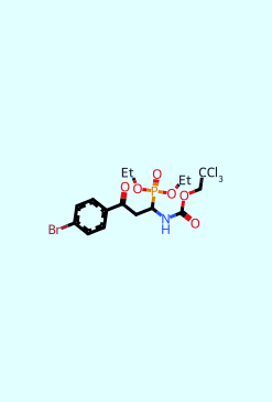 CCOP(=O)(OCC)C(CC(=O)c1ccc(Br)cc1)NC(=O)OCC(Cl)(Cl)Cl